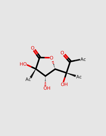 CC(=O)C(=O)[C@@](O)(C(C)=O)[C@H]1OC(=O)[C@](O)(C(C)=O)[C@H]1O